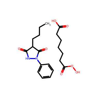 CCCCC1C(=O)NN(c2ccccc2)C1=O.O=C(O)CCCCCC(=O)OO